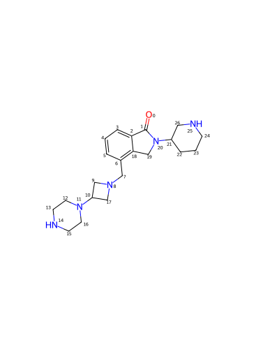 O=C1c2cccc(CN3CC(N4CCNCC4)C3)c2CN1C1CCCNC1